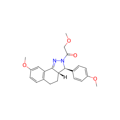 COCC(=O)N1N=C2c3cc(OC)ccc3CC[C@H]2[C@@H]1c1ccc(OC)cc1